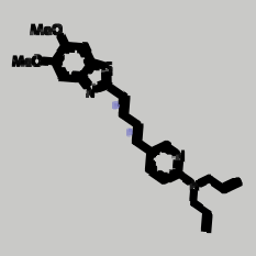 C=CCN(CC=C)c1ccc(/C=C/C=C/c2nc3cc(OC)c(O[11CH3])cc3s2)cn1